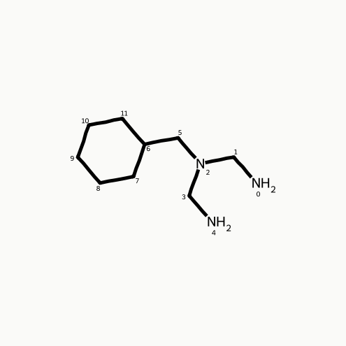 NCN(CN)CC1CCCCC1